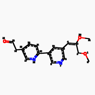 COC/C(=C\c1cncc(-c2ccc(CC=O)cn2)c1)OC